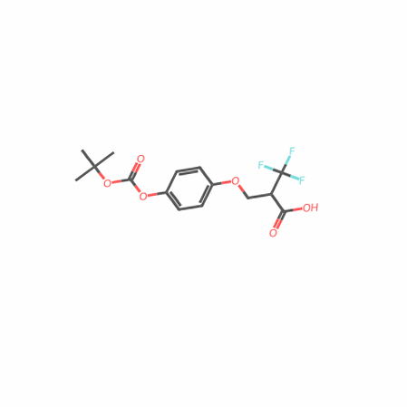 CC(C)(C)OC(=O)Oc1ccc(OCC(C(=O)O)C(F)(F)F)cc1